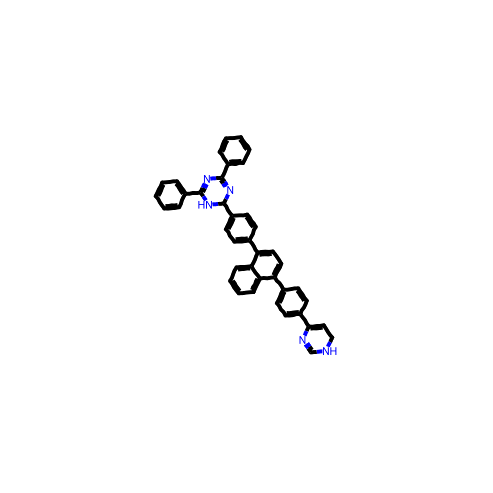 C1=NC(c2ccc(-c3ccc(-c4ccc(C5N=C(c6ccccc6)N=C(c6ccccc6)N5)cc4)c4ccccc34)cc2)=CCN1